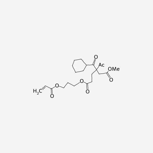 C=CC(=O)OCCCOC(=O)CCC(CC(=O)OC)(C(C)=O)C(=O)C1CCCCC1